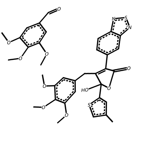 COc1cc(C=O)cc(OC)c1OC.COc1cc(CC2=C(c3ccc4nsnc4c3)C(=O)OC2(O)c2cc(C)cs2)cc(OC)c1OC